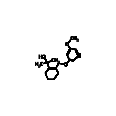 COc1cncc(OCC2=C(C(C)(C)O)CCCC2)c1